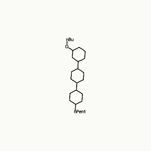 CCCCCC1CCC(C2CCC(C3CCCC(OCCCC)C3)CC2)CC1